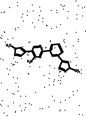 Cn1cc(-c2cccc(-c3ncc(-c4cnn(C)c4)c(N)n3)c2)cn1